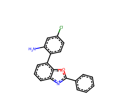 Nc1cc(Cl)ccc1-c1cccc2nc(-c3ccccc3)oc12